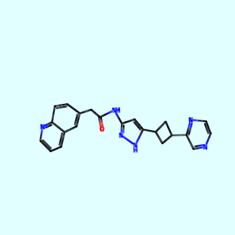 O=C(Cc1ccc2ncccc2c1)Nc1cc(C2CC(c3cnccn3)C2)[nH]n1